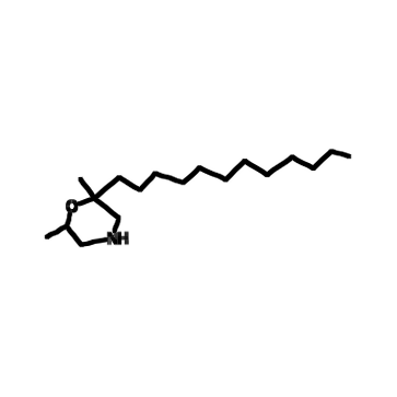 CCCCCCCCCCCCC1(C)CNCC(C)O1